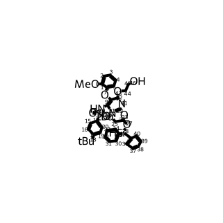 COc1ccccc1Oc1c(NS(=O)(=O)c2ccc(C(C)(C)C)cc2)nc(OC(CC(C)(C)C)O[SiH](c2ccccc2)c2ccccc2)nc1OCCO